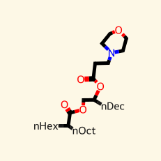 CCCCCCCCCCC(COC(=O)C(CCCCCC)CCCCCCCC)OC(=O)CCN1CCOCC1